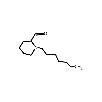 CCCCCCCN1CCCCC1C=O